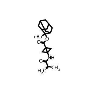 C=C(C)C(=O)NC12CC1(C(=O)OC1(CCCC)C3CC4CC(C3)CC1C4)C2